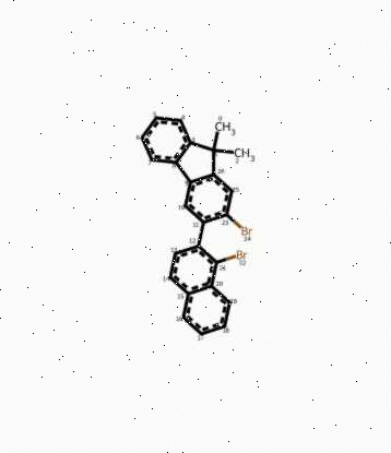 CC1(C)c2ccccc2-c2cc(-c3ccc4ccccc4c3Br)c(Br)cc21